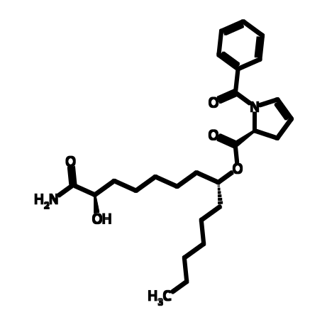 CCCCCC[C@H](CCCCC[C@@H](O)C(N)=O)OC(=O)[C@@H]1CC=CN1C(=O)c1ccccc1